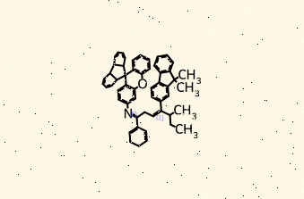 CCC(C)/C(=C/C/C(=N\c1ccc2c(c1)Oc1ccccc1C21C2C=CC=CC2C2C=CC=CC21)C1=CCCC=C1)c1ccc2c(c1)C(C)(C)c1ccccc1-2